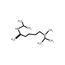 C=C(CCCCN(C)C(C)C)NC(C)C